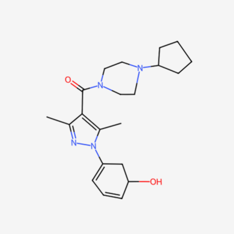 Cc1nn(C2=CC=CC(O)C2)c(C)c1C(=O)N1CCN(C2CCCC2)CC1